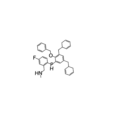 CNCc1cc(F)ccc1Pc1cc(CC2C=CC=CC2)cc(CC2C=CC=CC2)c1OCc1ccccc1